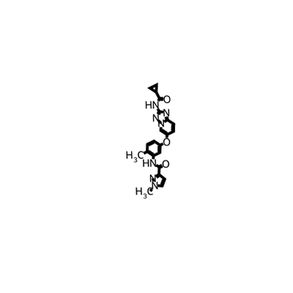 Cc1ccc(Oc2ccc3nc(NC(=O)C4CC4)nn3c2)cc1NC(=O)c1ccn(C)n1